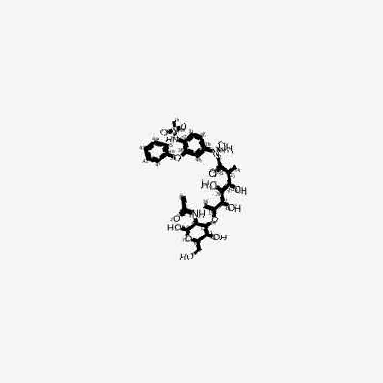 CC(=O)NC1C(O)OC(CO)C(O)C1OC(C)C(O)C(O)C(O)C(C)C(=O)N(O)c1ccc(NS(C)(=O)=O)c(Oc2ccccc2)c1